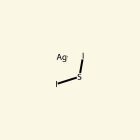 ISI.[Ag]